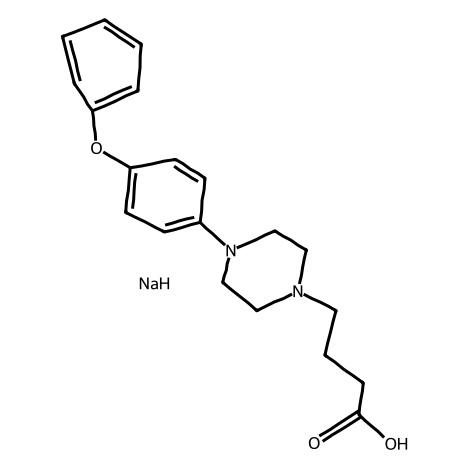 O=C(O)CCCN1CCN(c2ccc(Oc3ccccc3)cc2)CC1.[NaH]